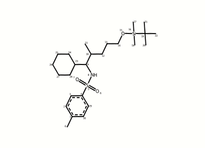 Cc1ccc(S(=O)(=O)NC(C(C)CCCO[Si](C)(C)C(C)(C)C)C2CCCCC2)cc1